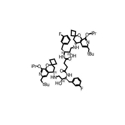 CC(C)Oc1nc(CC(C)(C)C)cc2c1OC1(CCC1)C[C@@H]2NC[C@H](O)[C@H](Cc1cccc(F)c1)NC(=O)CCC(=O)N[C@@H](Cc1cccc(F)c1)[C@@H](O)CN[C@@H]1CC2(CCC2)Oc2c1cc(CC(C)(C)C)nc2OC(C)C